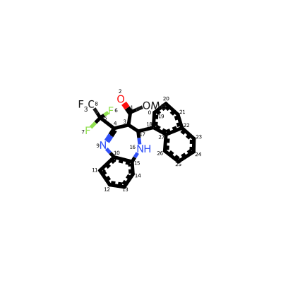 COC(=O)C1C(C(F)(F)C(F)(F)F)=Nc2ccccc2NC1c1cccc2ccccc12